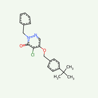 CC(C)(C)c1ccc(COc2cnn(Cc3ccccc3)c(=O)c2Cl)cc1